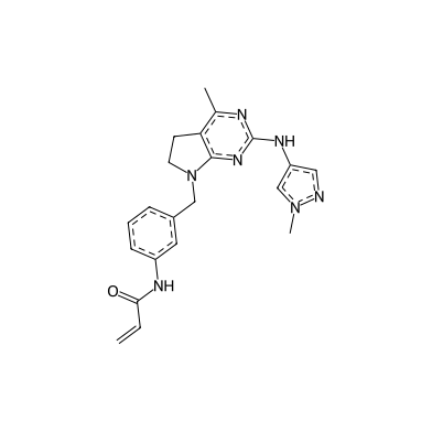 C=CC(=O)Nc1cccc(CN2CCc3c(C)nc(Nc4cnn(C)c4)nc32)c1